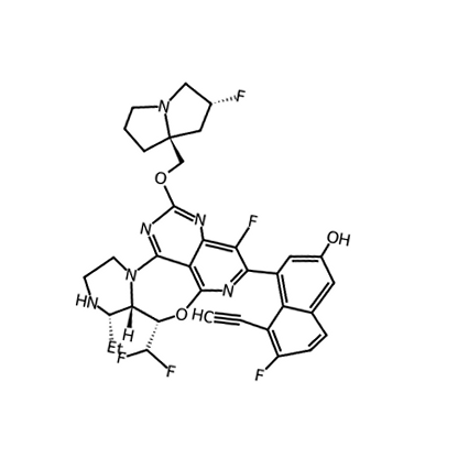 C#Cc1c(F)ccc2cc(O)cc(-c3nc4c5c(nc(OC[C@@]67CCCN6C[C@H](F)C7)nc5c3F)N3CCN[C@@H](CC)[C@H]3[C@@H](C(F)F)O4)c12